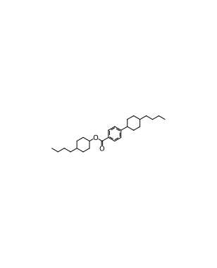 CCCCC1CCC(OC(=O)c2ccc(C3CCC(CCCC)CC3)cc2)CC1